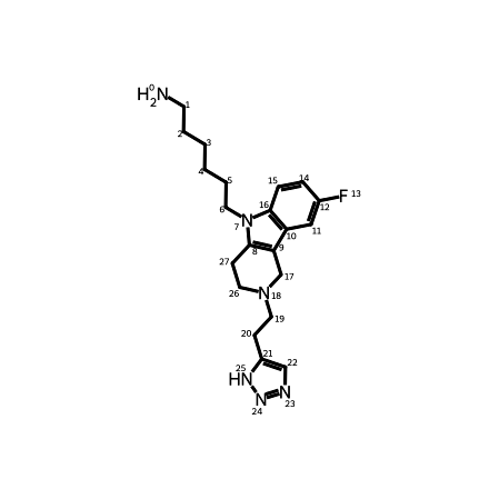 NCCCCCCn1c2c(c3cc(F)ccc31)CN(CCc1cnn[nH]1)CC2